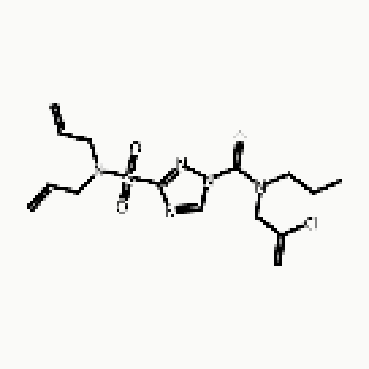 C=CCN(CC=C)S(=O)(=O)c1ncn(C(=O)N(CCC)CC(=C)Cl)n1